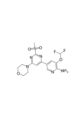 CS(=O)(=O)c1nc(-c2cnc(N)c(OC(F)F)c2)cc(N2CCOCC2)n1